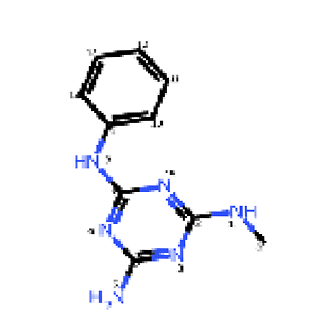 CNc1nc(N)nc(Nc2ccccc2)n1